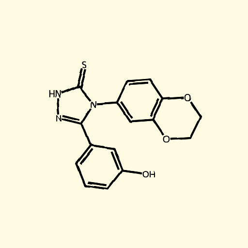 Oc1cccc(-c2n[nH]c(=S)n2-c2ccc3c(c2)OCCO3)c1